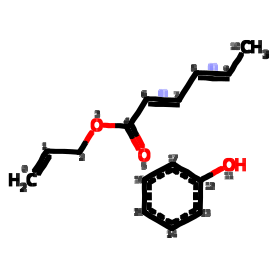 C=CCOC(=O)/C=C/C=C/C.Oc1ccccc1